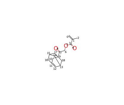 C=C(C)C(=O)OCC(=O)C12CC3=CC(CC(C3)C1)C2